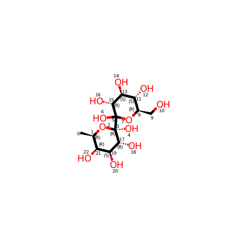 C[C@H]1O[C@@](O)(C2(O)O[C@H](CO)[C@@H](O)[C@H](O)[C@H]2O)[C@H](O)[C@@H](O)[C@H]1O